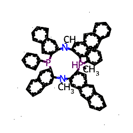 CN1c2cc3ccccc3cc2P(c2ccccc2)c2cc3ccccc3cc2N(C)c2cc3cc4ccccc4cc3cc2[PH](C)(c2ccccc2)c2cc3cc4ccccc4cc3cc21